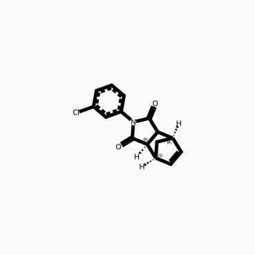 O=C1C2[C@H]3C=C[C@H](C3)[C@H]2C(=O)N1c1cccc(Cl)c1